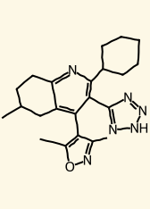 Cc1noc(C)c1-c1c2c(nc(C3CCCCC3)c1-c1nn[nH]n1)CCC(C)C2